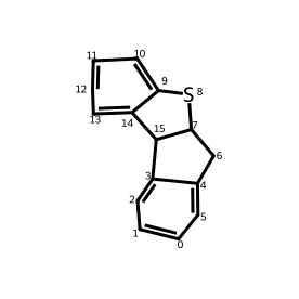 c1ccc2c(c1)CC1Sc3ccccc3C21